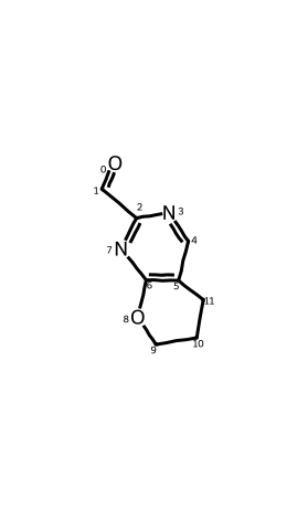 O=Cc1ncc2c(n1)OCCC2